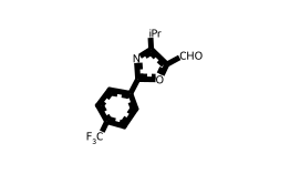 CC(C)c1nc(-c2ccc(C(F)(F)F)cc2)oc1C=O